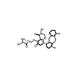 CC(C)C(N)C(=O)OCOc1c2n(ncc1=O)[C@@H](C1c3cccc(F)c3CCc3c(F)cccc31)CN(C(C)C)C2=O